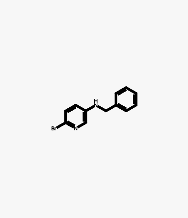 Brc1ccc(NCc2ccccc2)cn1